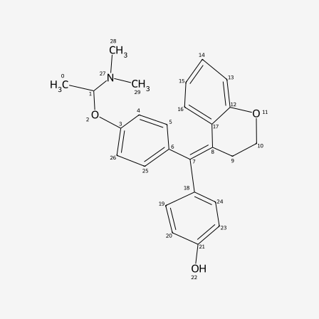 CC(Oc1ccc(C(=C2CCOc3ccccc32)c2ccc(O)cc2)cc1)N(C)C